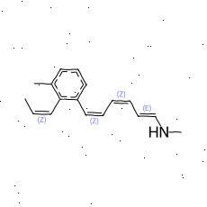 C/C=C\c1c(C)cccc1\C=C/C=C\C=C\NC